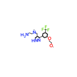 COCCOc1cc(-c2n[nH]cc2CN(C)CCN)cc(C(F)(F)F)c1